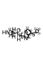 CC(C)(NC(=O)C1[C@H]2CNC[C@@H]12)c1ncc2c(SC3CCC3)cccn12